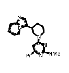 CNc1nc(C(C)C)cc(N2CCCC(c3cnc4ccccn34)C2)n1